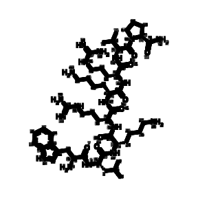 CC(C)C[C@H](NC(=O)[C@@H](N)Cc1c[nH]c2ccccc12)C(=O)N[C@@H](CCCCN)C(=O)N[C@@H](CCCNC(=N)N)C(=O)N[C@@H](CCCCN)C(=O)N[C@@H](CCCNC(=N)N)C(=O)N[C@H](C(=O)N1CCC[C@H]1C(N)=O)C(C)C